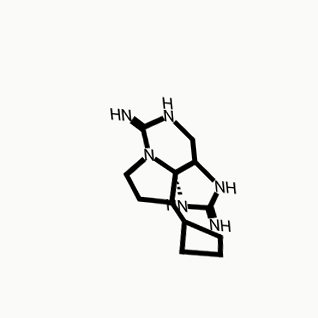 N=C1NC2CNC(=N)N3CCC(C4CCC4)[C@]23N1